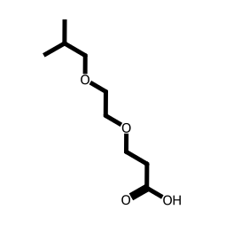 CC(C)COCCOCCC(=O)O